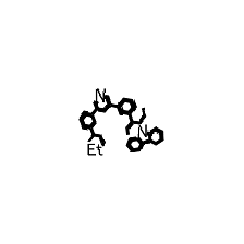 C/C=C(\C(=C/C)n1c2ccccc2c2ccccc21)c1cccc(-c2cncc(-c3cccc(C(C)/C=C\CC)c3)c2)c1